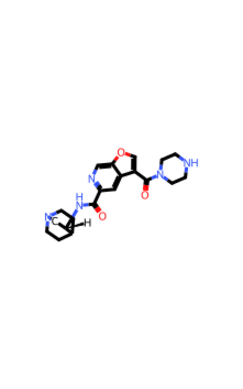 O=C(N[C@H]1CN2CCC1CC2)c1cc2c(C(=O)N3CCNCC3)coc2cn1